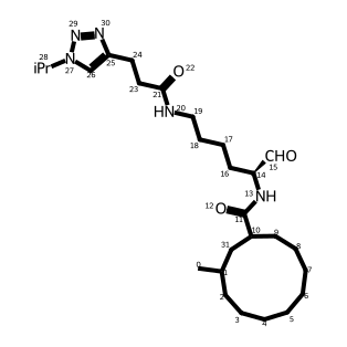 CC1CCCCCCCCC(C(=O)N[C@H](C=O)CCCCNC(=O)CCc2cn(C(C)C)nn2)C1